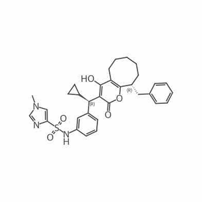 Cn1cnc(S(=O)(=O)Nc2cccc([C@H](c3c(O)c4c(oc3=O)[C@@H](Cc3ccccc3)CCCCC4)C3CC3)c2)c1